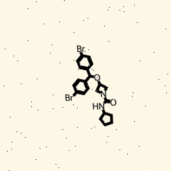 O=C(NC1CCCC1)N1CC(OC(c2ccc(Br)cc2)c2ccc(Br)cc2)C1